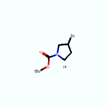 CC(C)(C)OC(=O)N1CC[CH]([Zn])C1.I